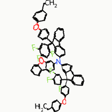 C=Cc1ccc(Oc2ccc(C3(c4cc(F)c(F)cc4F)c4ccccc4-c4ccc(N(c5ccc6c(c5)C(c5ccc(Oc7ccc(C=C)cc7)cc5)(c5cc(F)c(F)cc5F)c5ccccc5-6)c5ccc6c(c5)oc5ccccc56)cc43)cc2)cc1